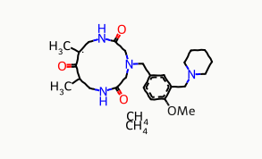 C.C.COc1ccc(CN2CC(=O)NC[C](C)C(=O)C(C)CNC(=O)C2)cc1CN1CCCCC1